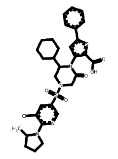 CC1CCCN1c1ncc(S(=O)(=O)N2CC(=O)N(c3cc(-c4ccccc4)sc3C(=O)O)C(C3CCCCC3)C2)cc1Cl